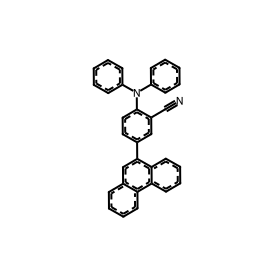 N#Cc1cc(-c2cc3ccccc3c3ccccc23)ccc1N(c1ccccc1)c1ccccc1